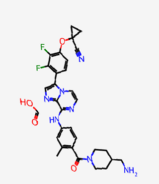 Cc1cc(Nc2nccn3c(-c4ccc(OC5(C#N)CC5)c(F)c4F)cnc23)ccc1C(=O)N1CCC(CN)CC1.O=CO